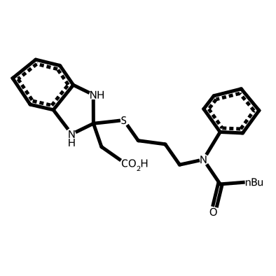 CCCCC(=O)N(CCCSC1(CC(=O)O)Nc2ccccc2N1)c1ccccc1